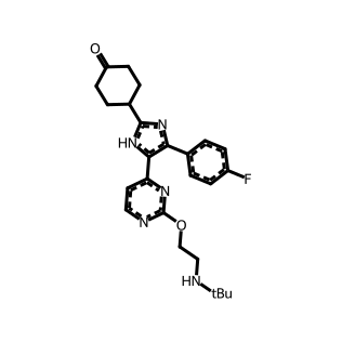 CC(C)(C)NCCOc1nccc(-c2[nH]c(C3CCC(=O)CC3)nc2-c2ccc(F)cc2)n1